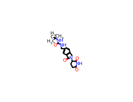 CC(C)(C)NC(=O)NCc1ccc2c(c1)C(=O)N(C1CCC(=O)NC1=O)C2